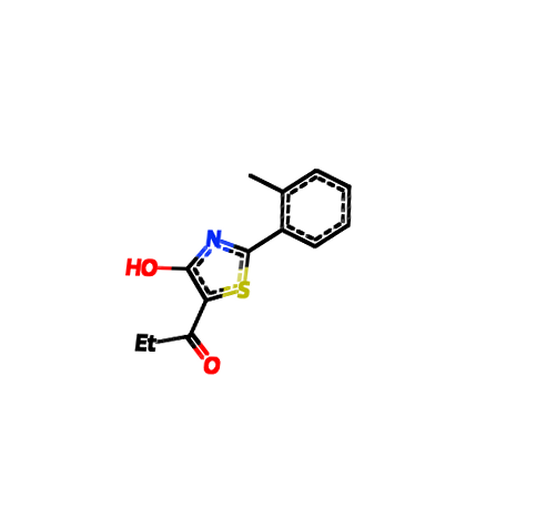 CCC(=O)c1sc(-c2ccccc2C)nc1O